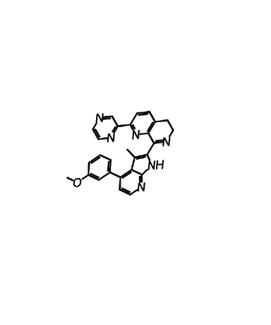 COc1cccc(-c2ccnc3[nH]c(C4=NCCc5ccc(-c6cnccn6)nc54)c(C)c23)c1